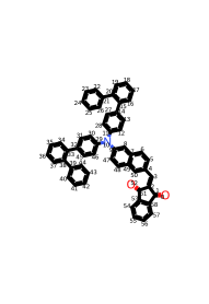 O=C1C(=Cc2ccc3cc(N(c4ccc(-c5ccccc5-c5ccccc5)cc4)c4ccc(-c5ccccc5-c5ccccc5)cc4)ccc3c2)C(=O)c2ccccc21